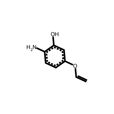 C=COc1ccc(N)c(O)c1